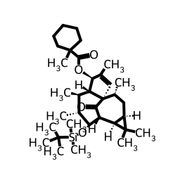 CC1=C[C@]23C(=O)[C@@H]([C@H](O[Si](C)(C)C(C)(C)C)[C@H](C)[C@@H](C)[C@@H]2[C@H]1OC(=O)C1(C)CCCCC1)[C@H]1[C@@H](C[C@H]3C)C1(C)C